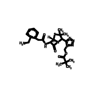 CC(C)(C)C(=O)OCn1nnnc1C1N2C(=O)C(NC(=O)Cc3ccccc3CN)[C@@H]2SC1(C)C